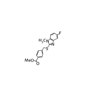 COC(=O)c1ccc(CSc2nc3cc(F)ccc3n2C)cc1